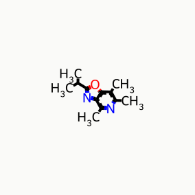 Cc1nc(C)c2nc(C(C)C)oc2c1C